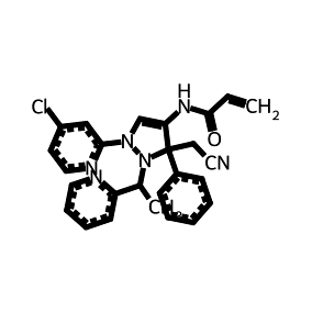 C=CC(=O)NC1=CN(c2cc(Cl)ccn2)N(C(C)c2ccccn2)C1(CC#N)c1ccccc1